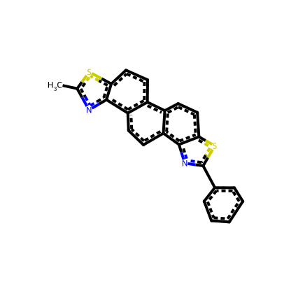 Cc1nc2c(ccc3c4ccc5sc(-c6ccccc6)nc5c4ccc32)s1